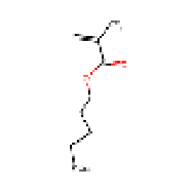 C=C(C(=O)OCCCCCCCCCCCC)C(F)(F)F